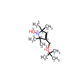 CC(C)(C)OCC1=CC(C)(C)N(O)C1(C)C